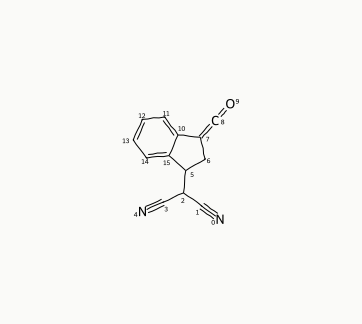 N#CC(C#N)C1CC(=C=O)c2ccccc21